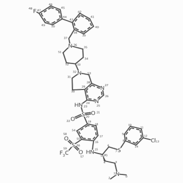 CN(C)CC[C@H](CSc1cccc(Cl)c1)Nc1ccc(S(=O)(=O)Nc2ncnc3c2CCN(C2CCN(Cc4ccccc4-c4ccc(F)cc4)CC2)C3)cc1S(=O)(=O)C(F)(F)F